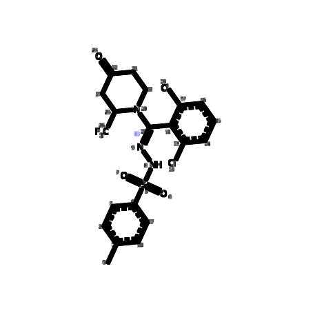 Cc1ccc(S(=O)(=O)N/N=C(\c2c(Cl)cccc2Cl)N2CCC(=O)CC2C(F)(F)F)cc1